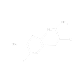 CC(C)(C)c1cc2nc(N)c(Cl)cc2cc1F